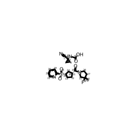 N#CC1(NC(=O)O)CC1.O=C([C@@H]1CC[C@H](S(=O)(=O)c2ccccn2)C1)N1CCC(F)(F)C1